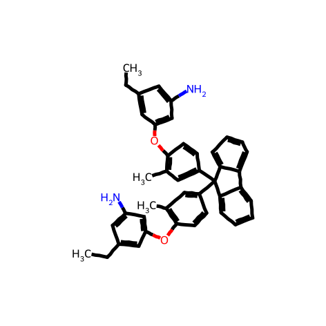 CCc1cc(N)cc(Oc2ccc(C3(c4ccc(Oc5cc(N)cc(CC)c5)c(C)c4)c4ccccc4-c4ccccc43)cc2C)c1